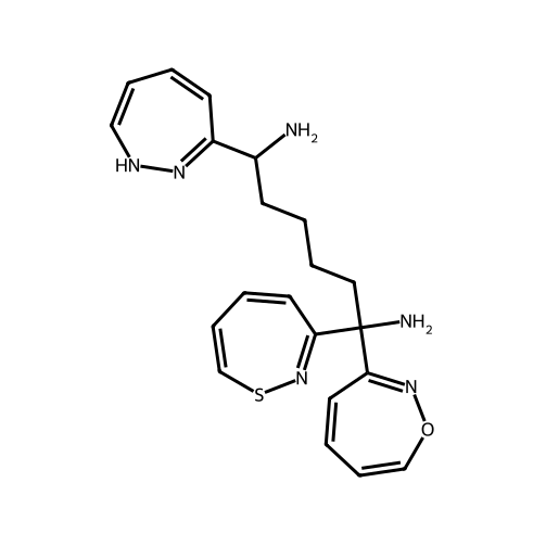 NC(CCCCC(N)(C1=NOC=CC=C1)C1=NSC=CC=C1)C1=NNC=CC=C1